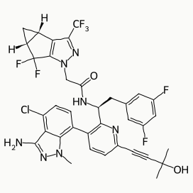 Cn1nc(N)c2c(Cl)ccc(-c3ccc(C#CC(C)(C)O)nc3[C@H](Cc3cc(F)cc(F)c3)NC(=O)Cn3nc(C(F)(F)F)c4c3C(F)(F)[C@@H]3C[C@H]43)c21